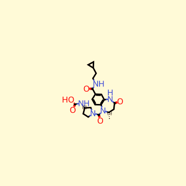 C[C@H]1CC(=O)Nc2cc(C(=O)NCCC3CC3)ccc2N1C(=O)N1CC[C@@H](NC(=O)O)C1